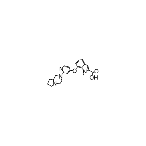 Cn1c(C(=O)O)cc2cccc(Oc3ccnc(N4CCN5CCCC5C4)c3)c21